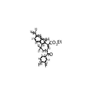 CCOC(=O)C1=CN(C(=O)c2ccc(F)c(F)c2)CC(C)(C)c2c1[nH]c1nc(N(C)C)ccc21